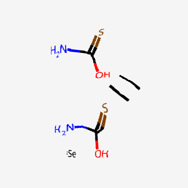 CC.CC.NC(O)=S.NC(O)=S.[Se]